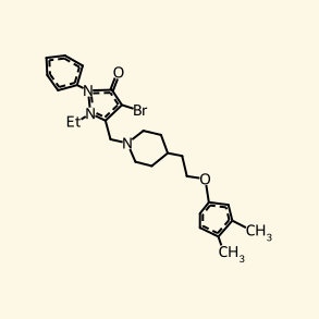 CCn1c(CN2CCC(CCOc3ccc(C)c(C)c3)CC2)c(Br)c(=O)n1-c1ccccc1